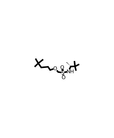 C[C@@H](NS(=O)(=O)COCCCC(C)(C)C)C(C)(C)C